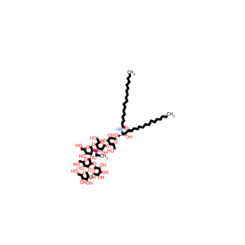 CCCCCCCCCCCCC/C=C/[C@@H](O)[C@H](CO[C@@H]1OC(CO)[C@@H](O[C@@H]2OC(CO)[C@H](O[C@@H]3OC(CO)[C@H](O)[C@H](O[C@@H]4OC(CO)[C@H](O)[C@H](O[C@H]5OC(CO)[C@H](O)[C@H](O)C5O)C4O[C@H]4OC(C)[C@@H](O)C(O)[C@@H]4O)C3NC(C)=O)[C@H](O)C2O)[C@H](O)C1O)NC(=O)CCCCCCCCCCCCCCCCC